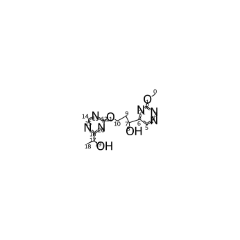 COc1nncc(C(O)CCOc2ncnc(C(C)O)n2)n1